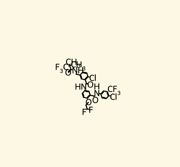 CC(C)(C(=O)NCc1ccc(Cl)c(C(=O)Nc2ccc(OCC(F)F)c(C(=O)Nc3ccc(Cl)c(C(F)(F)F)c3)c2)c1)C(F)(F)F